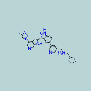 Cc1cn(-c2cncc3[nH]c(-c4n[nH]c5ccc(-c6cncc(CNCC7CCCC7)c6)cc45)cc23)cn1